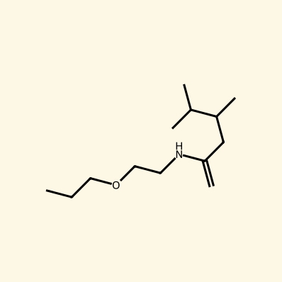 C=C(CC(C)C(C)C)NCCOCCC